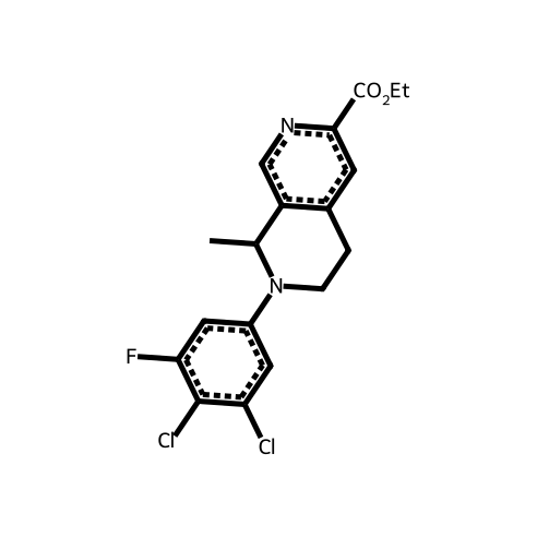 CCOC(=O)c1cc2c(cn1)C(C)N(c1cc(F)c(Cl)c(Cl)c1)CC2